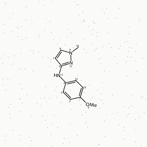 COc1ccc(Nc2ccn(C)n2)cc1